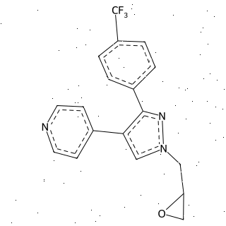 FC(F)(F)c1ccc(-c2nn(CC3CO3)cc2-c2ccncc2)cc1